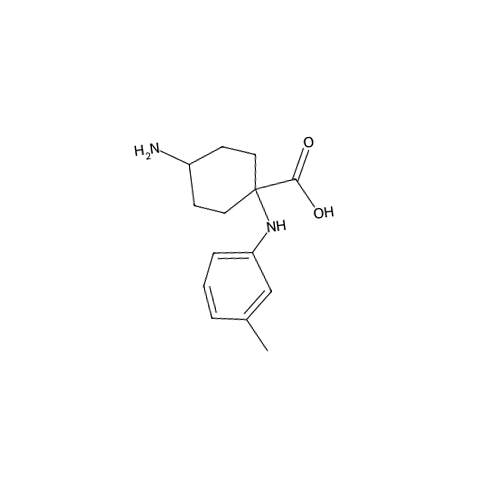 Cc1cccc(NC2(C(=O)O)CCC(N)CC2)c1